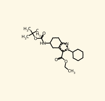 CCOC(=O)c1c2c(nn1C1CCCCC1)CCC(NC(=O)OC(C)(C)C)C2